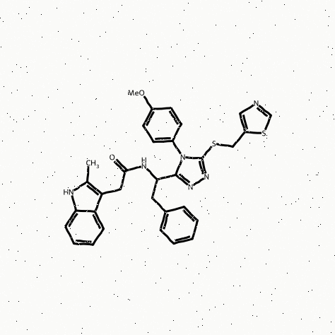 COc1ccc(-n2c(SCc3cncs3)nnc2C(Cc2ccccc2)NC(=O)Cc2c(C)[nH]c3ccccc23)cc1